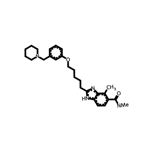 CNC(=O)c1ccc2[nH]c(CCCCCOc3cccc(CN4CCCCC4)c3)nc2c1C